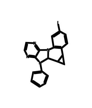 Ic1ccc2c(c1)N1c3nccnc3N(c3ccccc3)C1C1CC21